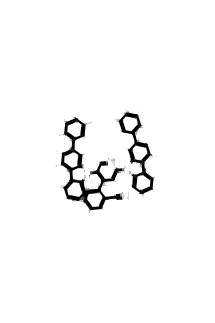 N#Cc1ccccc1-c1cc(-n2c3ccccc3c3ccc(-c4ccccc4)cc32)ncc1-n1c2ccccc2c2ccc(-c3ccccc3)cc21